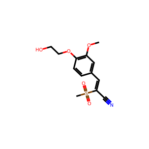 COc1cc(C=C(C#N)S(C)(=O)=O)ccc1OCCO